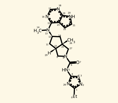 CCc1nsc(NC(=O)N2C[C@@H]3C[C@@H](N(C)c4ncnc5[nH]ccc45)C[C@]3(C)C2)n1